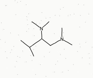 CC(C)C(CN(C)C)N(C)C